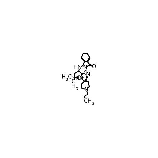 CCCN1CCC(C#N)(NC(=O)C(CC(C)(C)C)NC2=NC(=O)c3ccccc32)CC1